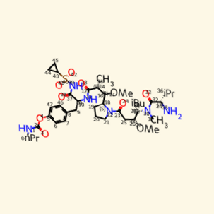 CCCNC(=O)Oc1ccc(C[C@H](NC(=O)[C@H](C)[C@@H](OC)[C@@H]2CCCN2C(=O)C[C@@H](OC)[C@H]([C@@H](C)CC)N(C)C(=O)[C@@H](N)C(C)C)C(=O)NS(=O)(=O)C2CC2)cc1